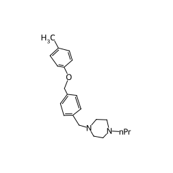 CCCN1CCN(Cc2ccc(COc3ccc(C)cc3)cc2)CC1